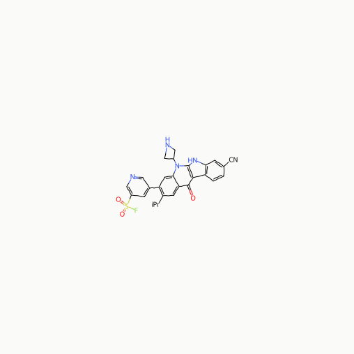 CC(C)c1cc2c(=O)c3c4ccc(C#N)cc4[nH]c3n(C3CNC3)c2cc1-c1cncc(S(=O)(=O)F)c1